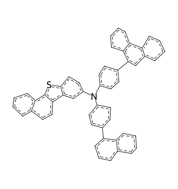 c1ccc2c(-c3ccc(N(c4ccc(-c5cc6ccccc6c6ccccc56)cc4)c4ccc5sc6c7ccccc7ccc6c5c4)cc3)cccc2c1